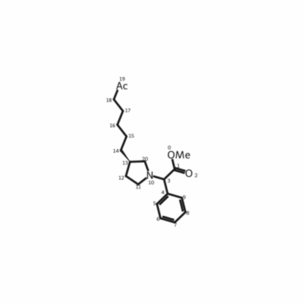 COC(=O)C(c1ccccc1)N1CC[C@@H](CCCCCC(C)=O)C1